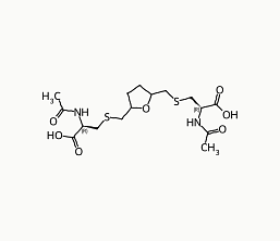 CC(=O)N[C@@H](CSCC1CCC(CSC[C@H](NC(C)=O)C(=O)O)O1)C(=O)O